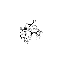 C[C@@H]1CC2C[C@H](N)[C@H](OC(=O)C(C)(C)C)C1N(C(=O)CC(F)(F)F)C2